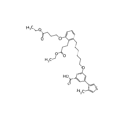 CCOC(=O)CCCOc1cccc(CCCCCCOc2cc(C(=O)O)cc(-c3cscc3C)c2)c1CCC(=O)OCC